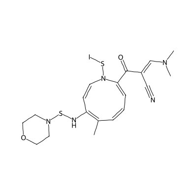 Cc1cccc(C(=O)/C(C#N)=C/N(C)C)n(SI)ccc1NSN1CCOCC1